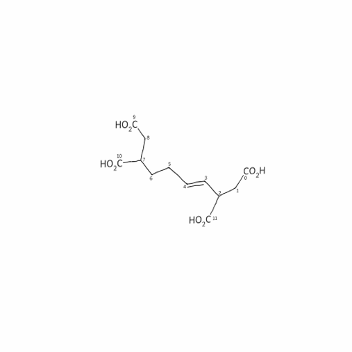 O=C(O)CC(C=CCCC(CC(=O)O)C(=O)O)C(=O)O